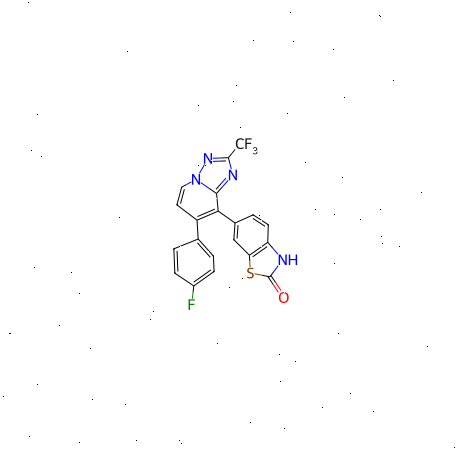 O=c1[nH]c2ccc(-c3c(-c4ccc(F)cc4)ccn4nc(C(F)(F)F)nc34)cc2s1